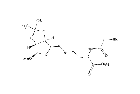 COC(=O)C(CCSC[C@H]1O[C@@H](OC)[C@@H]2OC(C)(C)O[C@H]21)NC(=O)OC(C)(C)C